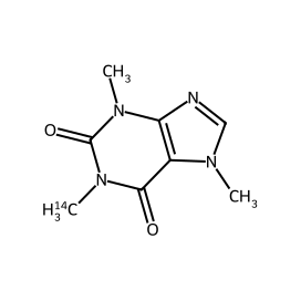 Cn1cnc2c1c(=O)n([14CH3])c(=O)n2C